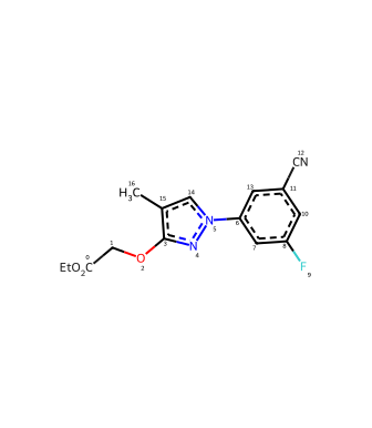 CCOC(=O)COc1nn(-c2cc(F)cc(C#N)c2)cc1C